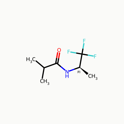 CC(C)C(=O)N[C@H](C)C(F)(F)F